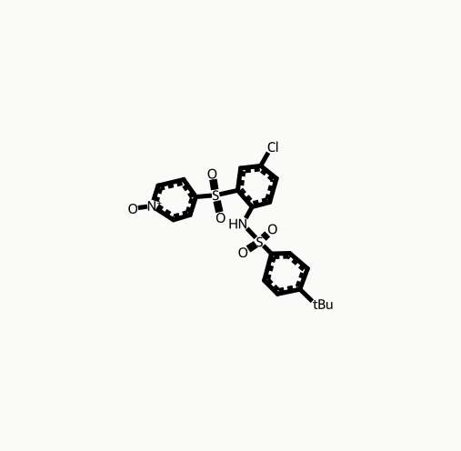 CC(C)(C)c1ccc(S(=O)(=O)Nc2ccc(Cl)cc2S(=O)(=O)c2cc[n+]([O-])cc2)cc1